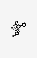 CC1C(C(=O)O)CC(c2ccccc2)CN1S(=O)(=O)c1ccc(Br)s1